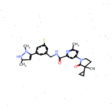 Cc1cc(N2CCC(C#N)(C3CC3)C2=O)cc(C(=O)NCc2cc(F)cc(C3=CC(C)NN3C)c2)n1